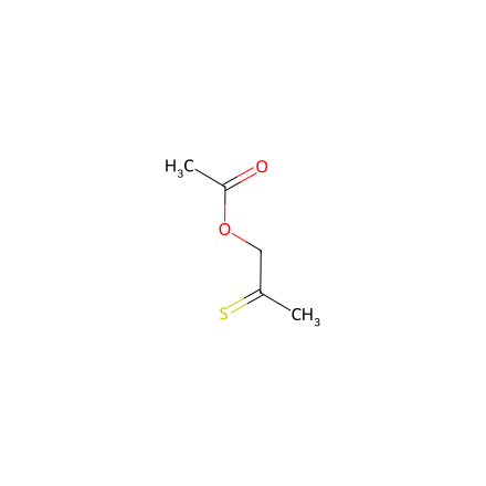 CC(=O)OCC(C)=S